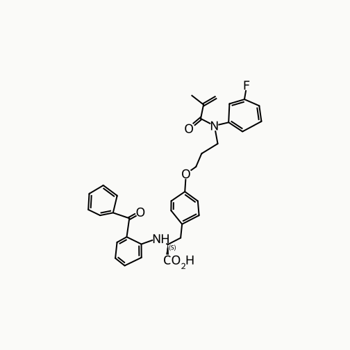 C=C(C)C(=O)N(CCCOc1ccc(C[C@H](Nc2ccccc2C(=O)c2ccccc2)C(=O)O)cc1)c1cccc(F)c1